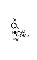 COC(=O)[C@H](Cc1cccc(Br)c1)NC(=O)OC(C)(C)C